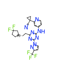 N#CC1(c2cc(Nc3nc(CC[C@@H]4CCC(F)(F)C4)nc(-n4ccc(C(F)(F)F)n4)n3)ccn2)CC1